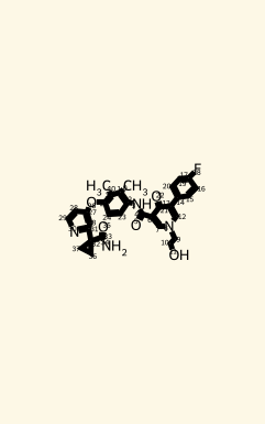 Cc1c(NC(=O)c2cn(CCO)cc(-c3ccc(F)cc3)c2=O)ccc(Oc2ccnc(C3(C(N)=O)CC3)c2)c1C